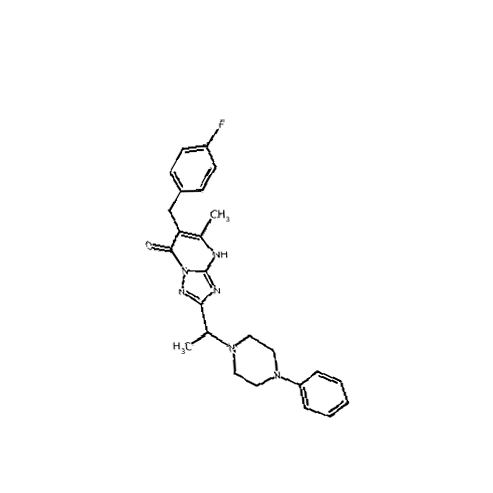 Cc1[nH]c2nc(C(C)N3CCN(c4ccccc4)CC3)nn2c(=O)c1Cc1ccc(F)cc1